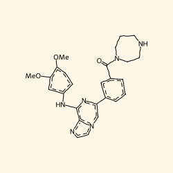 COc1ccc(Nc2nc(-c3cccc(C(=O)N4CCCNCC4)c3)cn3ccnc23)cc1OC